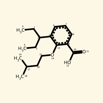 CCC(CC)c1cccc(C(=O)O)c1OCCC(C)C